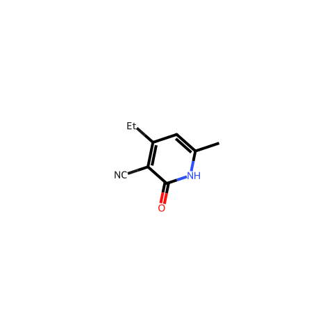 CCc1cc(C)[nH]c(=O)c1C#N